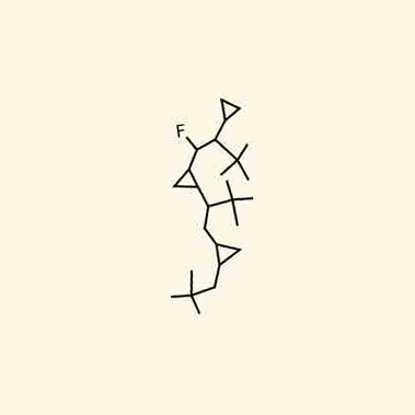 CC(C)(C)CC1CC1CC(C1CC1C(F)C(C1CC1)C(C)(C)C)C(C)(C)C